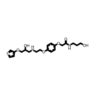 O=C(COc1ccc(OCCNCC(O)COc2ccsc2)cc1)NCCCO